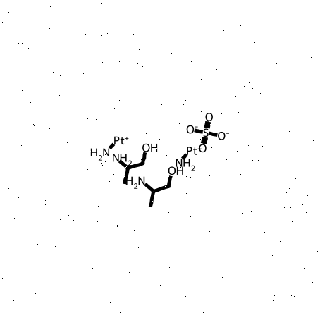 CC(N)CO.CC(N)CO.O=S(=O)([O-])[O-].[NH2][Pt+].[NH2][Pt+]